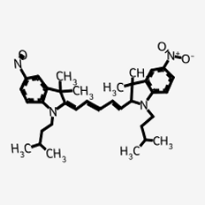 CC(C)CCN1/C(=C/C=C/C=C/C2N(CCC(C)C)c3ccc([N+](=O)[O-])cc3C2(C)C)C(C)(C)c2cc(N=O)ccc21